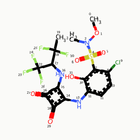 CON(C)S(=O)(=O)c1c(Cl)ccc(Nc2c(NC(C(C)(F)F)C(F)(F)F)c(=O)c2=O)c1O